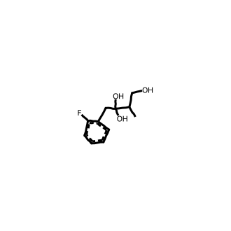 CC(CO)C(O)(O)Cc1ccccc1F